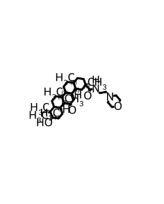 CC1(C)C2CC[C@]3(C)[C@H](C(=O)C=C4[C@@H]5C[C@@](C)(C(=O)NCCN6CCOCC6)CC[C@]5(C)CC[C@]43C)[C@@]2(C)CC[C@@H]1O